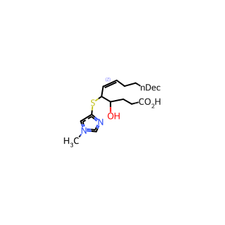 CCCCCCCCCCCC/C=C\C(Sc1cn(C)cn1)C(O)CCC(=O)O